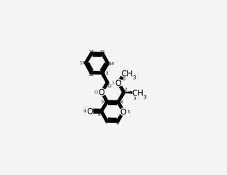 CO[C@@H](C)c1occc(=O)c1OCc1ccccc1